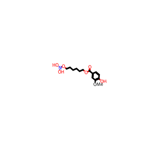 COc1cc(C(=O)OCCCCCCON(O)O)ccc1O